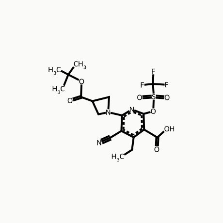 CCc1c(C#N)c(N2CC(C(=O)OC(C)(C)C)C2)nc(OS(=O)(=O)C(F)(F)F)c1C(=O)O